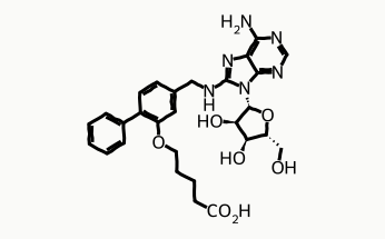 Nc1ncnc2c1nc(NCc1ccc(-c3ccccc3)c(OCCCCC(=O)O)c1)n2[C@@H]1O[C@H](CO)[C@@H](O)[C@H]1O